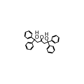 O=C(CC(O)(c1ccccc1)c1ccccc1)CC(O)(c1ccccc1)c1ccccc1